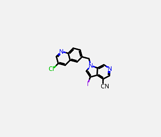 N#Cc1cncc2c1c(I)cn2Cc1ccc2ncc(Cl)cc2c1